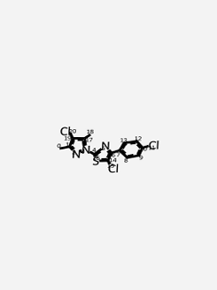 Cc1nn(-c2nc(-c3ccc(Cl)cc3)c(Cl)s2)c(C)c1Cl